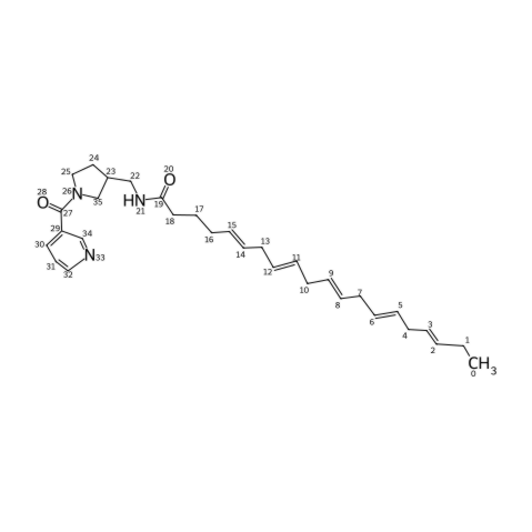 CCC=CCC=CCC=CCC=CCC=CCCCC(=O)NCC1CCN(C(=O)c2cccnc2)C1